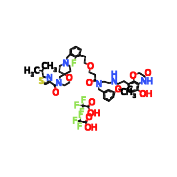 COc1cccc(CN(CCNCCc2ccc(O)c3c2OCC(=O)N3)C(=O)CCOCCc2cccc(CN3CCC4(CC3)CN(C(=O)c3csc(C(C)C)n3)CCO4)c2F)c1.O=C(O)C(F)(F)F.O=C(O)C(F)(F)F